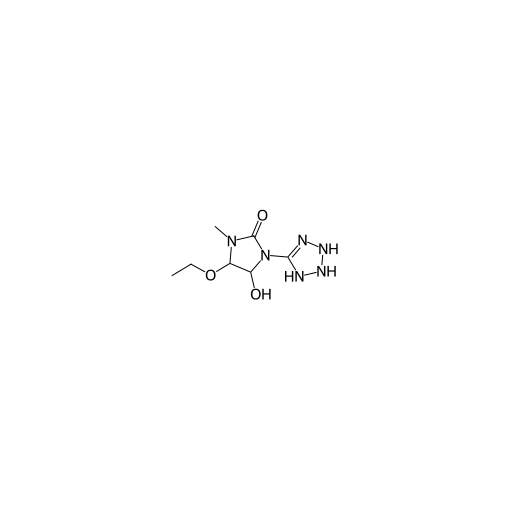 CCOC1C(O)N(C2=NNNN2)C(=O)N1C